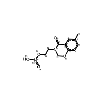 Cc1ccc2c(c1)C(=O)N(CCO[N+](=O)O)CO2